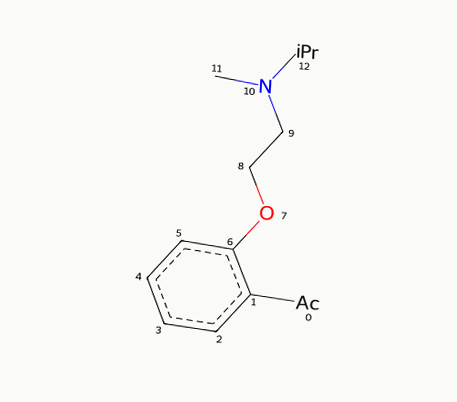 CC(=O)c1ccccc1OCCN(C)C(C)C